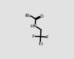 CCC(C)C(=O)NCC(F)(F)CC